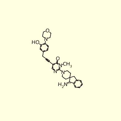 Cn1c(N2CCC3(CC2)Cc2ccccc2[C@H]3N)ncc(C#CCc2ccc(N3CCOCC3)c(O)c2)c1=O